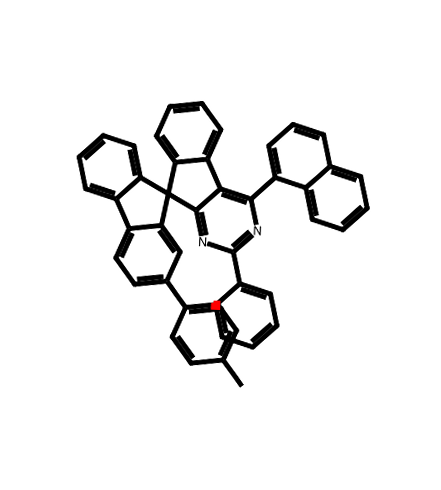 Cc1ccc(-c2ccc3c(c2)C2(c4ccccc4-3)c3ccccc3-c3c(-c4cccc5ccccc45)nc(-c4ccccc4)nc32)cc1